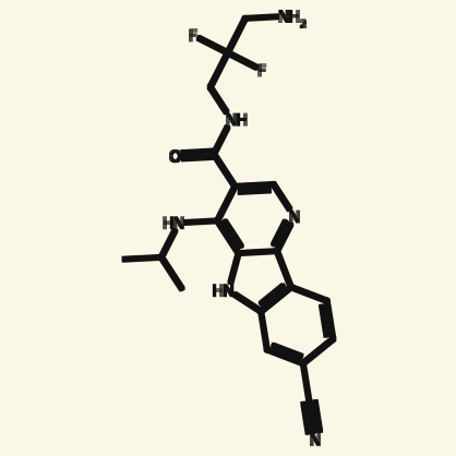 CC(C)Nc1c(C(=O)NCC(F)(F)CN)cnc2c1[nH]c1cc(C#N)ccc12